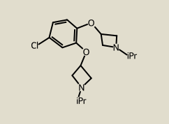 CC(C)N1CC(Oc2ccc(Cl)cc2OC2CN(C(C)C)C2)C1